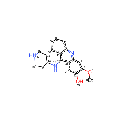 CCOc1cc2nc3ccccc3c(NC3CCNCC3)c2cc1O